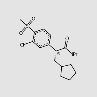 CC(C)C(=O)[C@H](CC1CCCC1)c1ccc(S(C)(=O)=O)c(Cl)c1